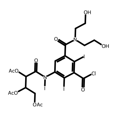 CC(=O)OCC(OC(C)=O)C(OC(C)=O)C(=O)N(I)c1cc(C(=O)N(CCO)CCO)c(I)c(C(=O)Cl)c1I